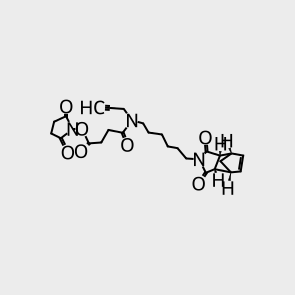 C#CCN(CCCCCCN1C(=O)[C@@H]2[C@H](C1=O)[C@@H]1C=C[C@H]2C1)C(=O)CCC(=O)ON1C(=O)CCC1=O